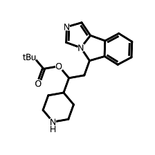 CC(C)(C)C(=O)OC(CC1c2ccccc2-c2cncn21)C1CCNCC1